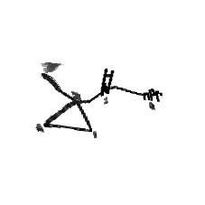 CC[CH]NC1(C)CC1